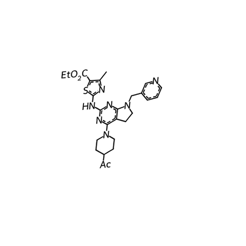 CCOC(=O)c1sc(Nc2nc(N3CCC(C(C)=O)CC3)c3c(n2)N(Cc2cccnc2)CC3)nc1C